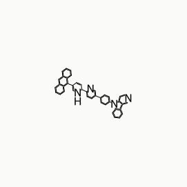 C1=CC(c2ccc(-c3ccc(-n4c5ccccc5c5cnccc54)cc3)cn2)NC=C1c1c2ccccc2cc2ccccc12